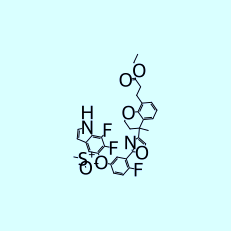 CCOC(=O)CCc1cccc2c1OCCC2(C)c1coc(-c2cc(Oc3c(F)c(F)c4[nH]ccc4c3[S+](C)[O-])ccc2F)n1